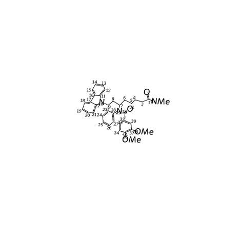 CNC(=O)CCCCC1CC(n2c3ccccc3c3ccccc32)c2ccccc2N1C(=O)c1ccc(OC)c(OC)c1